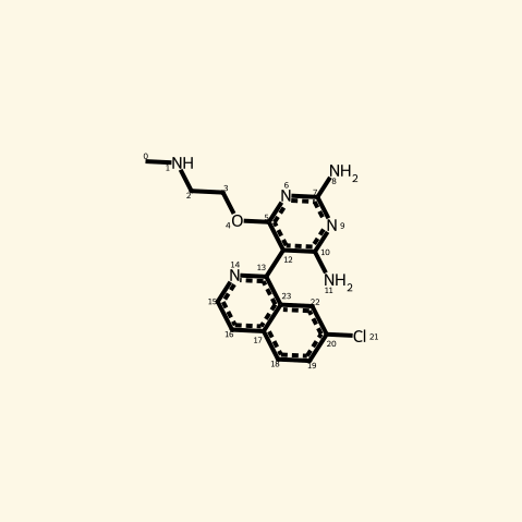 CNCCOc1nc(N)nc(N)c1-c1nccc2ccc(Cl)cc12